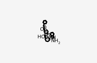 Nc1nc2cccc(OC3CCN(C(=O)OCc4ccccc4)CC3)c2n1[C@@H]1CCCCN(C(=O)O)C1